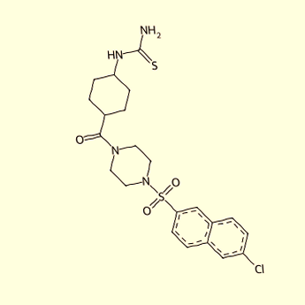 NC(=S)NC1CCC(C(=O)N2CCN(S(=O)(=O)c3ccc4cc(Cl)ccc4c3)CC2)CC1